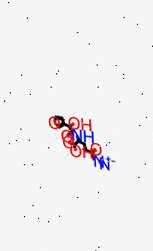 [N-]=[N+]=CC(=O)CCC(NC(=O)C(O)c1ccoc1)C(=O)O